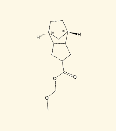 COCOC(=O)C1CC2C(C1)[C@H]1CC[C@H]2C1